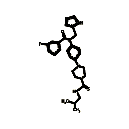 CC(C)CNC(=S)N1CCN(c2ccc(N(Cc3cnc[nH]3)C(=O)c3cccc(F)c3)cc2)CC1